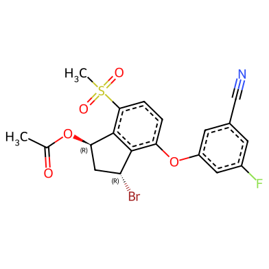 CC(=O)O[C@@H]1C[C@@H](Br)c2c(Oc3cc(F)cc(C#N)c3)ccc(S(C)(=O)=O)c21